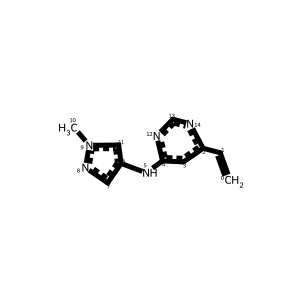 C=Cc1cc(Nc2cnn(C)c2)ncn1